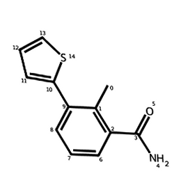 Cc1c(C(N)=O)cccc1-c1cccs1